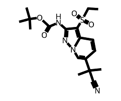 CCS(=O)(=O)c1c(NC(=O)OC(C)(C)C)nn2cc(C(C)(C)C#N)ccc12